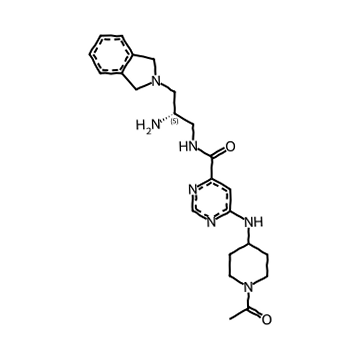 CC(=O)N1CCC(Nc2cc(C(=O)NC[C@H](N)CN3Cc4ccccc4C3)ncn2)CC1